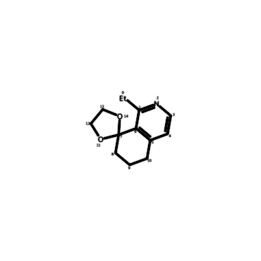 CCc1nccc2c1C1(CCC2)OCCO1